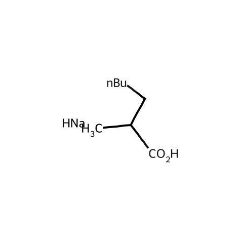 CCCCCC(C)C(=O)O.[NaH]